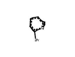 [CH2]C(C)c1ccccn1